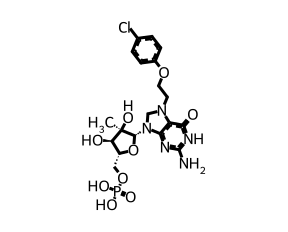 C[C@@]1(O)[C@H](O)[C@@H](COP(=O)(O)O)O[C@H]1N1CN(CCOc2ccc(Cl)cc2)c2c1nc(N)[nH]c2=O